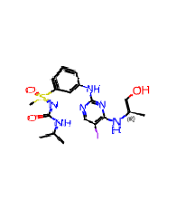 CC(C)NC(=O)N=S(C)(=O)c1cccc(Nc2ncc(I)c(N[C@H](C)CO)n2)c1